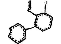 C=Cc1c(Cl)cccc1-c1ccccc1